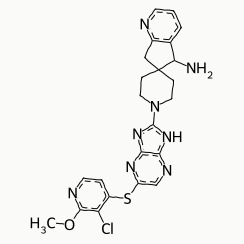 COc1nccc(Sc2cnc3[nH]c(N4CCC5(CC4)Cc4ncccc4C5N)nc3n2)c1Cl